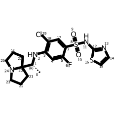 C[C@@H](Nc1cc(F)c(S(=O)(=O)Nc2nccs2)cc1Cl)C12CCCN1CCC2